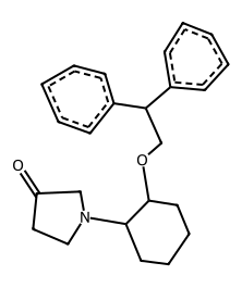 O=C1CCN(C2CCCCC2OCC(c2ccccc2)c2ccccc2)C1